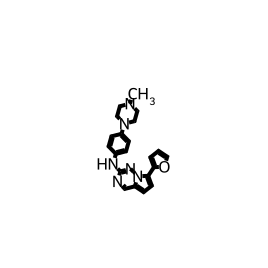 CN1CCN(c2ccc(Nc3ncc4ccc(-c5ccco5)n4n3)cc2)CC1